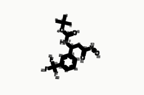 CC(C)(C)OC(=O)NC(CC(=O)N=O)c1cccc(C(F)(F)F)c1